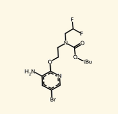 CC(C)(C)OC(=O)N(CCOc1ncc(Br)cc1N)CC(F)F